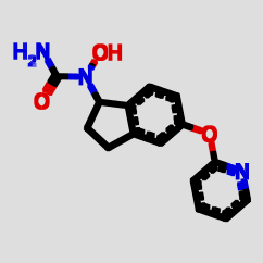 NC(=O)N(O)C1CCc2cc(Oc3ccccn3)ccc21